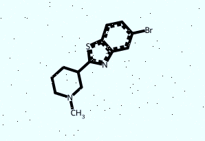 CN1CCCC(c2nc3cc(Br)ccc3s2)C1